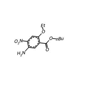 CCCCOC(=O)c1cc(N)c([N+](=O)[O-])cc1OCC